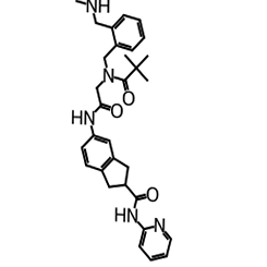 CNCc1ccccc1CN(CC(=O)Nc1ccc2c(c1)CC(C(=O)Nc1ccccn1)C2)C(=O)C(C)(C)C